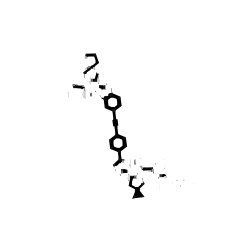 COC(=O)N[C@H](C(=O)N1CC2(CC2)C[C@H]1c1ncc(-c2ccc(C#Cc3ccc4nc([C@@H]5C[C@]6(CCCO6)CN5C(=O)[C@@H](C)C(C)C)[nH]c4c3)cc2)[nH]1)C(C)C